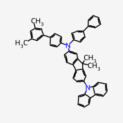 Cc1cc(C)cc(-c2ccc(N(c3ccc(-c4ccccc4)cc3)c3ccc4c(c3)C(C)(C)c3cc(-n5c6ccccc6c6ccccc65)ccc3-4)cc2)c1